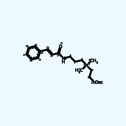 CCCCCCCCCCCC[N+](C)(C)CCCNC(=O)C=Cc1ccccc1